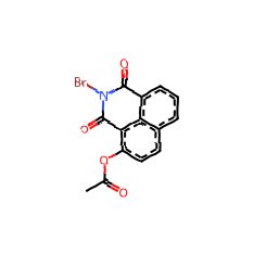 CC(=O)Oc1ccc2cccc3c2c1C(=O)N(Br)C3=O